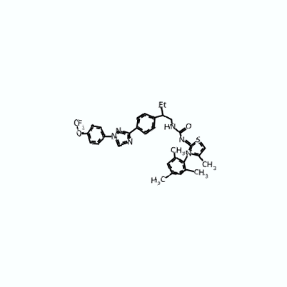 CCC(CNC(=O)/N=c1\scc(C)n1-c1c(C)cc(C)cc1C)c1ccc(-c2ncn(-c3ccc(OC(F)(F)F)cc3)n2)cc1